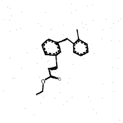 CCOC(=O)/C=C/c1cccc(Cc2ccccc2C)c1